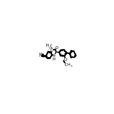 CCOc1cc(C(Nc2ccc(C#N)cc2)C(=O)OC)ccc1-c1ccccc1